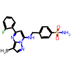 Bc1cnn2c(NCc3ccc(S(N)(=O)=O)cc3)cc(-c3ccccc3F)nc12